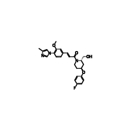 COc1cc(/C=C/C(=O)N2CC[C@H](Oc3ccc(F)cc3)C[C@H]2CO)ccc1-n1cnc(C)c1